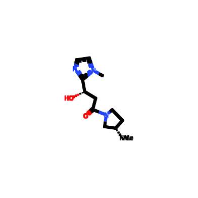 CN[C@H]1CCN(C(=O)C[C@H](O)c2nccn2C)C1